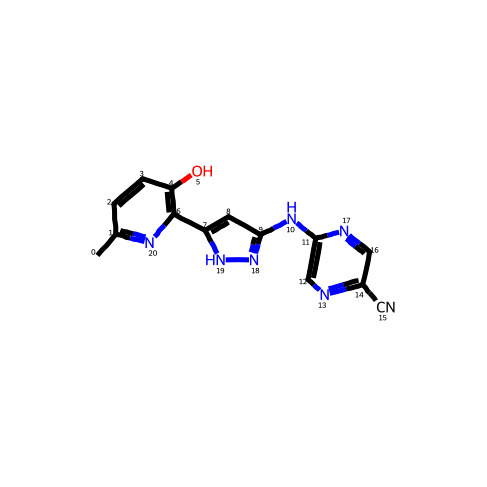 Cc1ccc(O)c(-c2cc(Nc3cnc(C#N)cn3)n[nH]2)n1